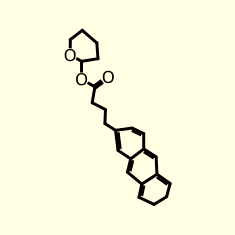 O=C(CCCc1ccc2cc3c(cc2c1)=CCCC=3)OC1CCCCO1